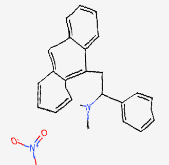 CN(C)C(Cc1c2ccccc2cc2ccccc12)c1ccccc1.O=[N+]([O-])O